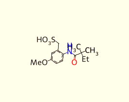 CCC(C)(C)C(=O)Nc1ccc(OC)cc1CS(=O)(=O)O